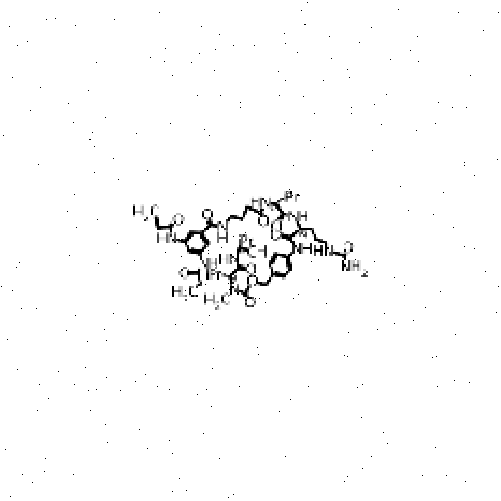 C=CC(=O)Nc1cc(NC(=O)C=C)cc(C(=O)NCCCC(=O)N[C@H](C(=O)N[C@@H](CCCNC(N)=O)C(=O)Nc2ccc(COC(=O)N(C)[C@H](C(=O)N[C@H](C)C(C)C)C(C)C)cc2)C(C)C)c1